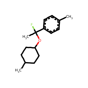 Cc1ccc(C(C)(F)OC2CCC(C)CC2)cc1